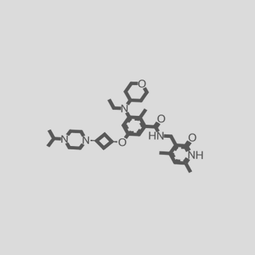 CCN(c1cc(O[C@H]2C[C@@H](N3CCN(C(C)C)CC3)C2)cc(C(=O)NCc2c(C)cc(C)[nH]c2=O)c1C)C1CCOCC1